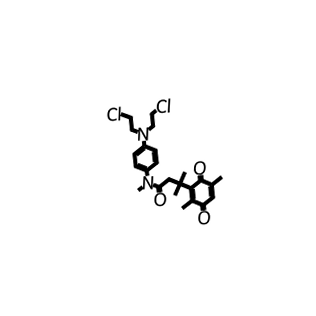 CC1=CC(=O)C(C)=C(C(C)(C)CC(=O)N(C)c2ccc(N(CCCl)CCCl)cc2)C1=O